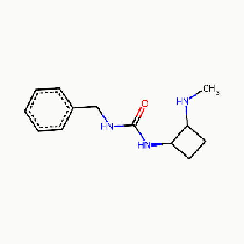 CNC1CC[C@H]1NC(=O)NCc1ccccc1